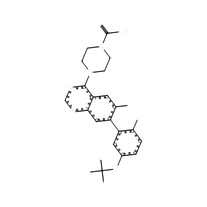 CC(=O)N1CCN(c2ncnc3cc(-c4cc(OC(F)(F)F)ccc4F)c(Cl)cc23)CC1